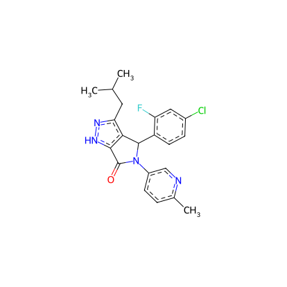 Cc1ccc(N2C(=O)c3[nH]nc(CC(C)C)c3C2c2ccc(Cl)cc2F)cn1